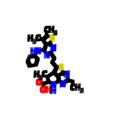 CCc1nc2c3c(c(CCc4nc(Nc5ccccc5)c5c(C)c(C)sc5n4)sc3n1)C(C)C(C(=O)O)N2